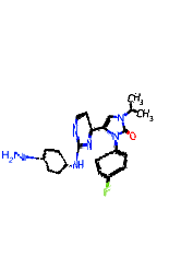 CC(C)n1cc(-c2ccnc(N[C@H]3CC[C@H](N)CC3)n2)n(-c2ccc(F)cc2)c1=O